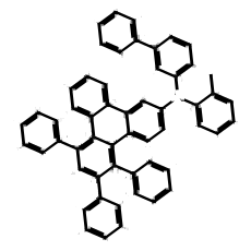 Cc1ccccc1N(c1cccc(-c2ccccc2)c1)c1ccc2c(c1)c1ccccc1c1c(-c3ccccc3)cc(-c3ccccc3)c(-c3ccccc3)c21